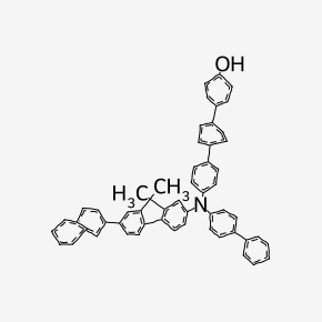 CC1(C)c2cc(-c3ccc4ccccc4c3)ccc2-c2ccc(N(c3ccc(-c4ccccc4)cc3)c3ccc(-c4ccc(-c5ccc(O)cc5)cc4)cc3)cc21